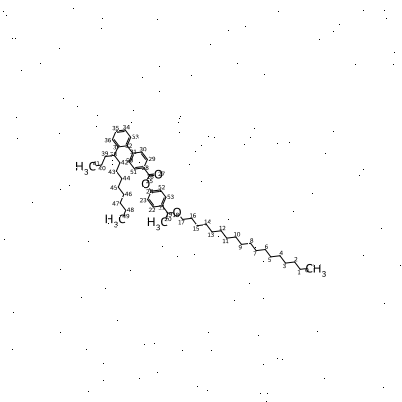 CCCCCCCCCCCCCCCCCCOC(C)c1ccc(OC(=O)c2ccc(-c3ccccc3C(CCC)CCCCCCCC)cc2)cc1